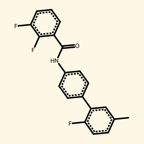 Cc1ccc(F)c(-c2ccc(NC(=O)c3cccc(F)c3F)cc2)c1